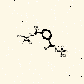 CCCCS(=O)(=O)ON=C(C)c1cccc(C(C#N)=NOS(=O)(=O)CCCC)c1